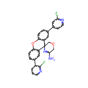 NC1=NC2(COC1)c1cc(-c3ccnc(F)c3)ccc1Oc1ccc(-c3cccnc3F)cc12